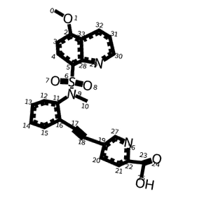 COc1ccc(S(=O)(=O)N(C)c2ccccc2C#Cc2ccc(C(=O)O)nc2)c2ncccc12